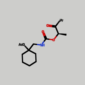 CC(=O)OC1(CNC(=O)O[C@H](C)C(=O)C(C)C)CCCCC1